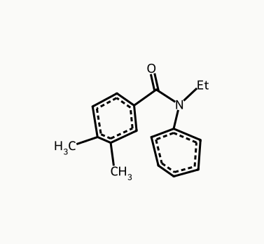 CCN(C(=O)c1ccc(C)c(C)c1)c1ccccc1